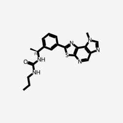 CCCNC(=O)N[C@@H](C)c1cccc(-c2nc3c(ncc4ncn(C)c43)s2)c1